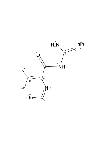 CCC/C=C(\N)NC(=O)C(/N=C\C(C)CC)=C(C)C